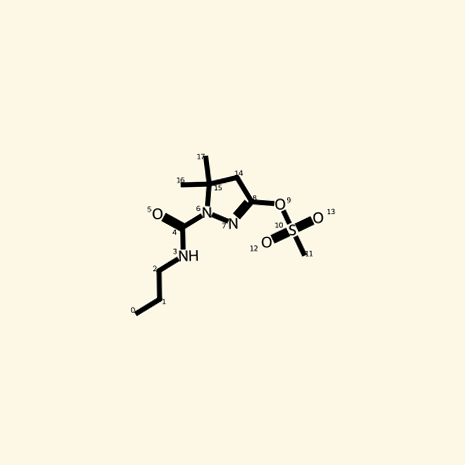 CCCNC(=O)N1N=C(OS(C)(=O)=O)CC1(C)C